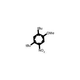 COc1cc([N+](=O)[O-])c(C(C)(C)C)cc1C(C)(C)C